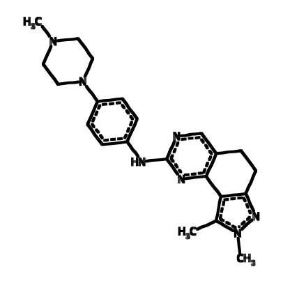 Cc1c2c(nn1C)CCc1cnc(Nc3ccc(N4CCN(C)CC4)cc3)nc1-2